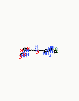 NCC1(CCCCCC(=O)NCCCCCC(=O)Nc2cccc3c2CN(C2CCC(=O)NC2=O)C3=O)CCN(c2cnc(Sc3cccc(Cl)c3Cl)c(N)n2)CC1